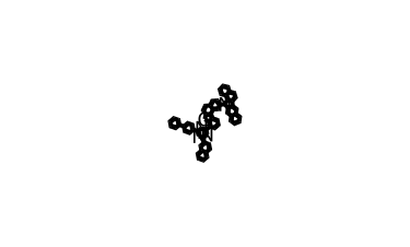 c1ccc(-c2ccc(-c3nc(-c4ccc5ccccc5c4)nc(-c4cccc5c4oc4ccc6ccc(-n7c8cc9ccccc9cc8c8ccc9ccccc9c87)cc6c45)n3)cc2)cc1